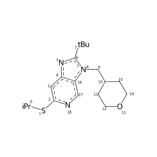 CC(C)Sc1cc2nc(C(C)(C)C)n(CC3CCOCC3)c2cn1